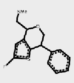 CNCC1OCC(c2ccccc2)c2sc(F)cc21